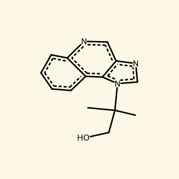 CC(C)(CO)n1cnc2cnc3ccccc3c21